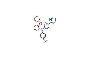 CC(C)c1ccc(N(c2ccc(-c3ccccn3)nc2)c2cccc3c2oc2ccccc23)cc1